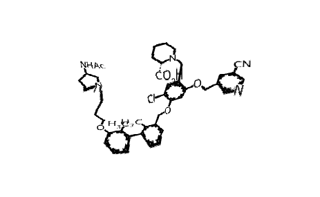 CC(=O)NC1CCN(CCCOc2cccc(-c3cccc(COc4cc(OCc5cncc(C#N)c5)c(CN5CCCC[C@H]5C(=O)O)cc4Cl)c3C)c2C)C1